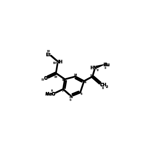 C=C(N[C@H](C)CC)c1cnc(OC)c(C(=O)NCC)c1